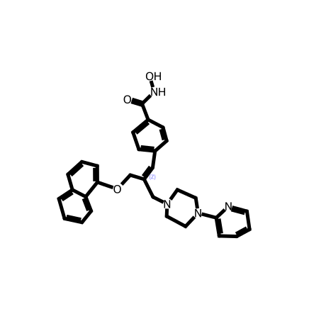 O=C(NO)c1ccc(/C=C(\COc2cccc3ccccc23)CN2CCN(c3ccccn3)CC2)cc1